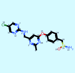 Cc1nc(CNc2ncc(Cl)cn2)cc(Oc2ccc(C[S+](N)[O-])cc2)n1